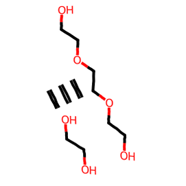 C=C.C=C.C=C.OCCO.OCCOCCOCCO